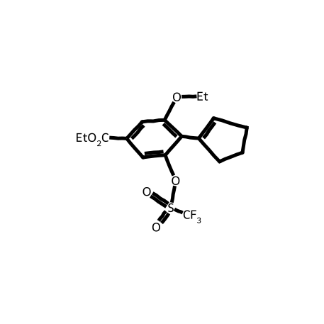 CCOC(=O)c1cc(OCC)c(C2=CCCC2)c(OS(=O)(=O)C(F)(F)F)c1